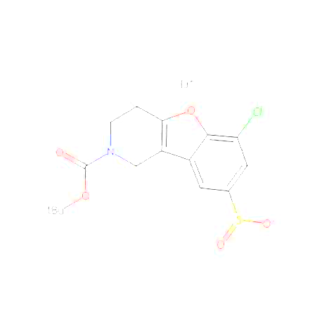 CC(C)(C)OC(=O)N1CCc2oc3c(Cl)cc(S(=O)[O-])cc3c2C1.[Li+]